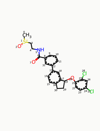 C[S+]([O-])CCNC(=O)c1cccc(-c2ccc3c(c2)C(Oc2ccc(Cl)cc2Cl)CC3)c1